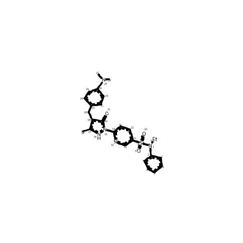 CCN(c1ccccc1)S(=O)(=O)c1ccc(-n2[nH]c(C)c(Cc3ccc(N(C)C)cc3)c2=O)nc1